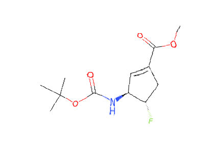 COC(=O)C1=C[C@H](NC(=O)OC(C)(C)C)[C@@H](F)C1